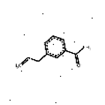 C=CCc1cccc(C(=C)N)c1